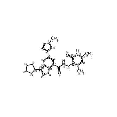 Cc1csc(-c2cc(C(=O)NCc3c(C)cc(C)[nH]c3=O)c3cnn(C4CCCC4)c3c2)c1